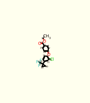 CCOC(=O)c1ccc(Oc2ccc(C3(C(F)(F)F)CC3)cc2Cl)cc1